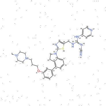 CN1CCN(CCCOc2cccc(-c3cccc4c3CCN4c3ncc(CN/C(=N\C#N)Nc4ccncc4)s3)c2)CC1